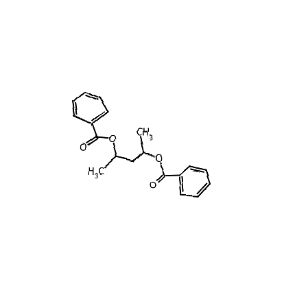 CC(CC(C)OC(=O)c1ccccc1)OC(=O)c1ccccc1